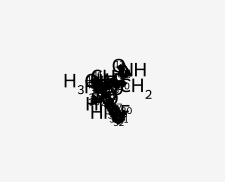 C=CC(=O)[C@H](C[C@@H]1CCNC1=O)NC(=O)[C@@H]1[C@@H]2[C@H](CN1C(=O)[C@@H](NC(=O)c1cc3c(F)cccc3[nH]1)C1CC1)C2(C)C